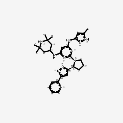 Cc1cc(Nc2cc(NC3CC(C)(C)NC(C)(C)C3)nc(N3CCC[C@H]3c3cc(-c4ccccn4)no3)n2)n[nH]1